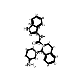 NC1CCCN(C2c3ccccc3CCN2C(=O)Nc2c[nH]c3ccccc23)C1